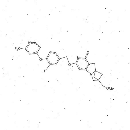 COCC12CN3c4cc(OCc5ccc(Oc6ccnc(C(F)(F)F)c6)c(F)c5)nc(=O)n4CC3(C1)C2